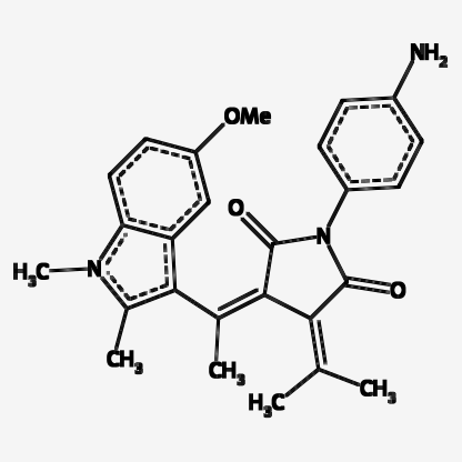 COc1ccc2c(c1)c(C(C)=C1C(=O)N(c3ccc(N)cc3)C(=O)C1=C(C)C)c(C)n2C